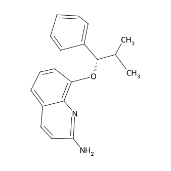 CC(C)[C@H](Oc1cccc2ccc(N)nc12)c1ccccc1